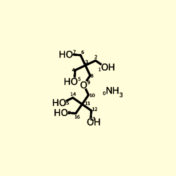 N.OCC(CO)(CO)COCC(CO)(CO)CO